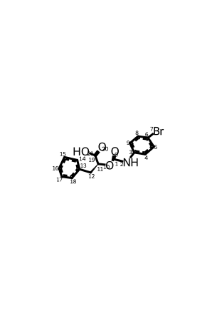 O=C(Nc1ccc(Br)cc1)O[C@@H](Cc1ccccc1)C(=O)O